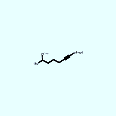 [CH2]CCCCCCC#CCCCC(CCCC)CCCCCCC[CH2]